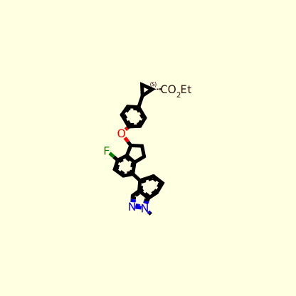 CCOC(=O)[C@H]1CC1c1ccc(OC2CCc3c(-c4cccc5c4cnn5C)ccc(F)c32)cc1